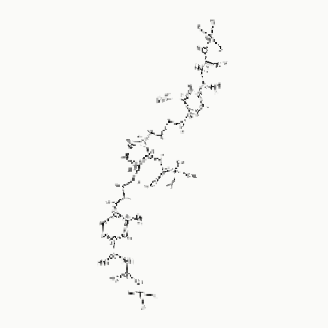 CC(C)(C)OC(=O)NC(=N)c1ccc(OCCCn2ccn(CCCOc3ccc(C(=N)NC(=O)OC(C)(C)C)cc3Br)c2=NC(=O)C(F)(F)F)c(Br)c1